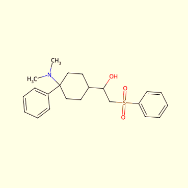 CN(C)C1(c2ccccc2)CCC(C(O)CS(=O)(=O)c2ccccc2)CC1